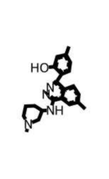 Cc1ccc(-c2nnc(NC3CCCN(C)C3)c3cc(C)ccc23)c(O)c1